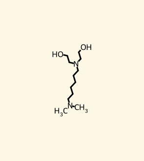 CN(C)CCCCCCN(CCO)CCO